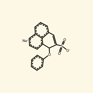 O=S(=O)([O-])C1=Cc2cccc3cccc(c23)C1Oc1ccccc1.[Na+]